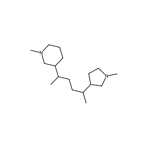 CC(CCC(C)C1CCN(C)C1)C1CCCN(C)C1